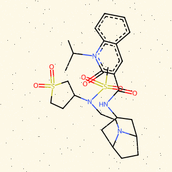 CC(C)n1c(=O)c(C(=O)NC2CC3CCC(C2)N3CCN(C2CCS(=O)(=O)C2)S(C)(=O)=O)cc2ccccc21